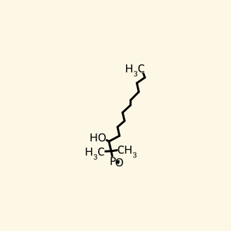 CCCCCCCCCCC(O)C(C)(C)P=O